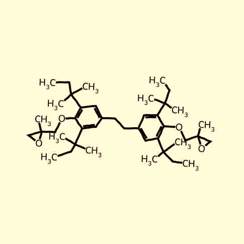 CCC(C)(C)c1cc(CCc2cc(C(C)(C)CC)c(OCC3(C)CO3)c(C(C)(C)CC)c2)cc(C(C)(C)CC)c1OCC1(C)CO1